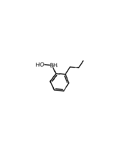 CCCc1ccccc1BO